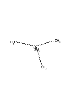 CCCCCCCCCCCCCCCCC(CCCCCCCCCCCCCCCC)(CCCCCCCCCCCCCCCC)O[SiH3]